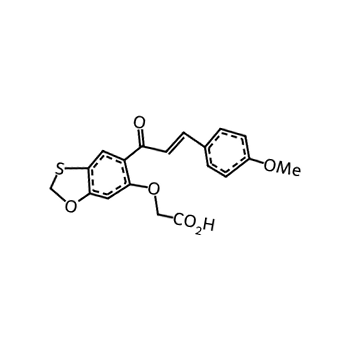 COc1ccc(C=CC(=O)c2cc3c(cc2OCC(=O)O)OCS3)cc1